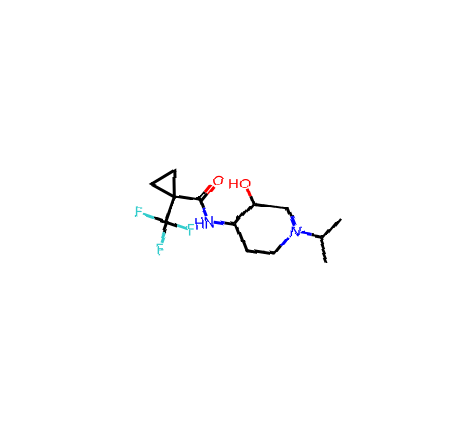 CC(C)N1CCC(NC(=O)C2(C(F)(F)F)CC2)C(O)C1